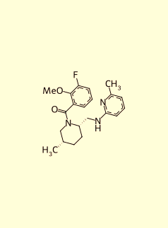 COc1c(F)cccc1C(=O)N1C[C@@H](C)CC[C@H]1CNc1cccc(C)n1